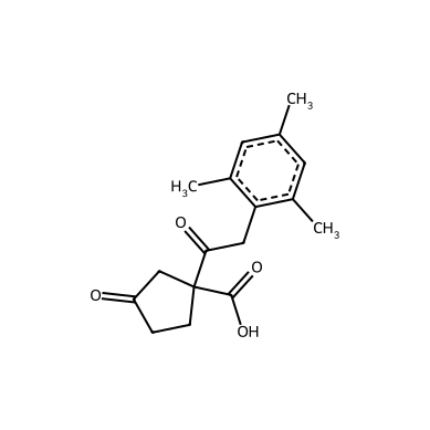 Cc1cc(C)c(CC(=O)C2(C(=O)O)CCC(=O)C2)c(C)c1